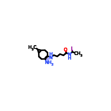 CC(I)NC(=O)CCCCN/C1=C(\N)CCC2C(C)C2CC1